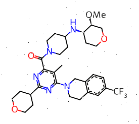 CO[C@H]1COCC[C@H]1NC1CCN(C(=O)c2nc(C3CCOCC3)nc(N3CCc4cc(C(F)(F)F)ccc4C3)c2C)CC1